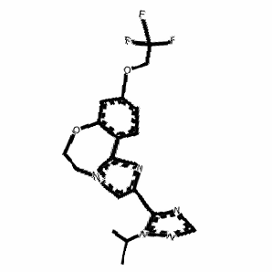 CC(C)n1ncnc1-c1cn2c(n1)-c1ccc(OCC(F)(F)F)cc1OCC2